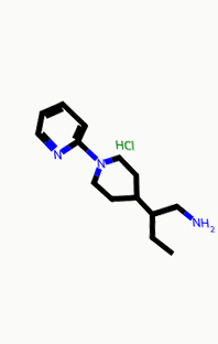 CCC(CN)C1CCN(c2ccccn2)CC1.Cl